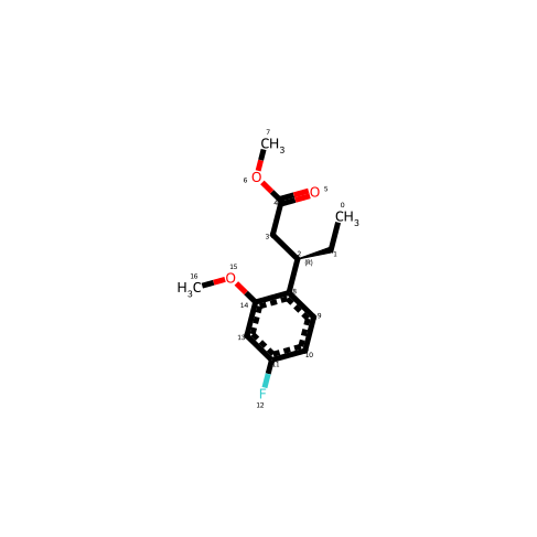 CC[C@H](CC(=O)OC)c1ccc(F)cc1OC